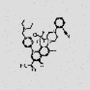 CCN(CC)Cc1ccc(-n2cc(C(=O)O)c(=O)c3cc(F)c(N4CCN(c5ccccc5C#N)CC4)c(OC(F)(F)Cl)c32)cc1